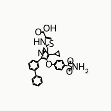 NS(=O)(=O)c1ccc(Oc2c(-c3cccc(-c4ccccc4)c3)nn(C3NC(C(=O)O)=CS3)c2C2CC2)cc1